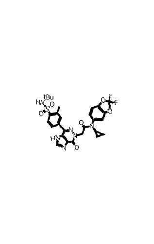 Cc1cc(-c2nn(CC(=O)N(c3ccc4c(c3)OC(F)(F)O4)C3CC3)c(=O)c3nc[nH]c23)ccc1S(=O)(=O)NC(C)(C)C